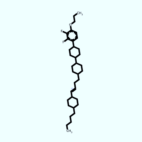 CCCCCC1CCC(/C=C/CCC2CCC(C3CCC(c4ccc(OCCC)c(F)c4F)CC3)CC2)CC1